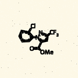 COC(=O)c1cc(C(F)(F)F)nn1-c1ccccc1Cl